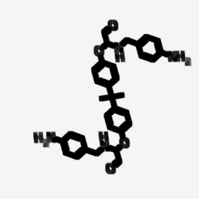 CC(C)(c1ccc(OC(C=O)NCc2ccc(N)cc2)cc1)c1ccc(OC(C=O)NCc2ccc(N)cc2)cc1